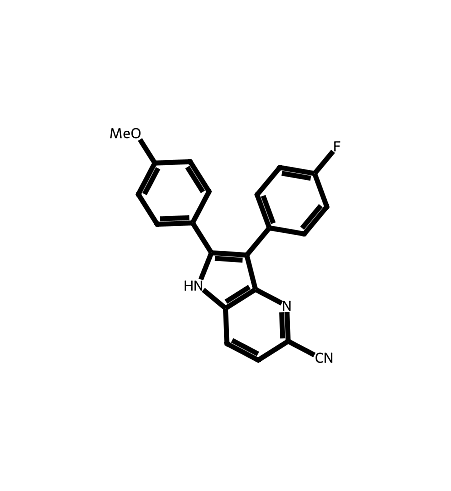 COc1ccc(-c2[nH]c3ccc(C#N)nc3c2-c2ccc(F)cc2)cc1